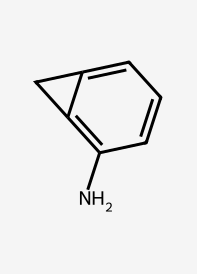 Nc1cccc2c1C2